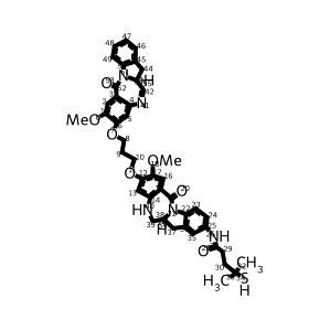 COc1cc2c(cc1OCCCOc1cc3c(cc1OC)C(=O)N1c4ccc(NC(=O)CCC(C)(C)S)cc4C[C@H]1CN3)N=C[C@@H]1Cc3ccccc3N1C2=O